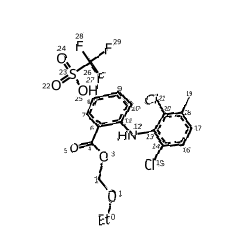 CCOCOC(=O)c1ccccc1Nc1c(Cl)ccc(C)c1Cl.O=S(=O)(O)C(F)(F)F